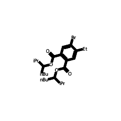 CCCCC(OC(=O)c1cc(Br)c(CC)cc1C(=O)OC(CCCC)C(C)C)C(C)C